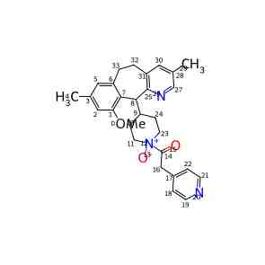 COc1cc(C)cc2c1C(C1CC[N+]([O-])(C(=O)Cc3ccncc3)CC1)c1ncc(C)cc1CC2